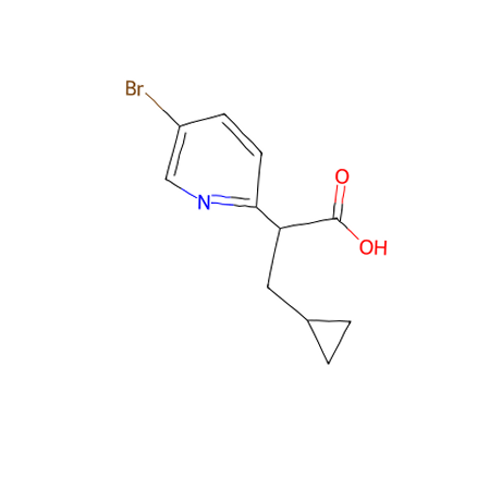 O=C(O)C(CC1CC1)c1ccc(Br)cn1